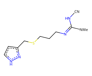 CN/C(=N/CCCSCc1cc[nH]n1)NC#N